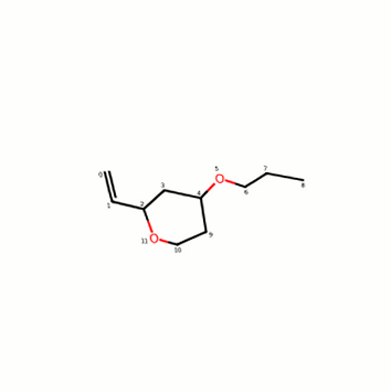 C=CC1CC(OCCC)CCO1